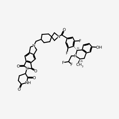 C[C@@H]1Cc2cc(O)ccc2[C@@H](c2c(F)cc(C(=O)N3CC4(CCC(CN5Cc6cc7c(cc6C5)C(=O)N(C5CCC(=O)NC5=O)C7=O)CC4)C3)cc2F)N1CC(F)F